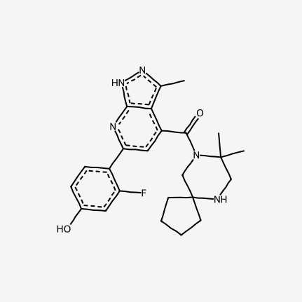 Cc1n[nH]c2nc(-c3ccc(O)cc3F)cc(C(=O)N3CC4(CCCC4)NCC3(C)C)c12